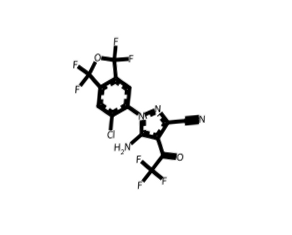 N#Cc1nn(-c2cc3c(cc2Cl)C(F)(F)OC3(F)F)c(N)c1C(=O)C(F)(F)F